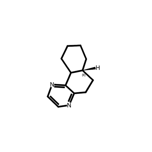 c1cnc2c(n1)CC[C@H]1CCCCC21